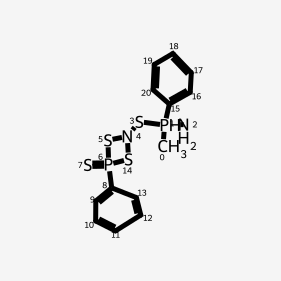 C[PH](N)(SN1SP(=S)(c2ccccc2)S1)c1ccccc1